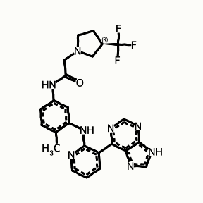 Cc1ccc(NC(=O)CN2CC[C@@H](C(F)(F)F)C2)cc1Nc1ncccc1-c1ncnc2[nH]cnc12